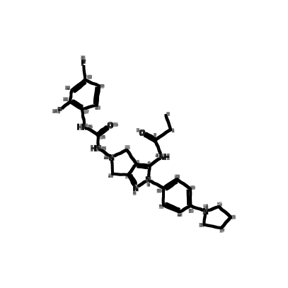 CCC(=O)Nc1c2c(nn1-c1ccc(N3CCCC3)cc1)CN(NC(=O)Nc1ccc(F)cc1F)C2